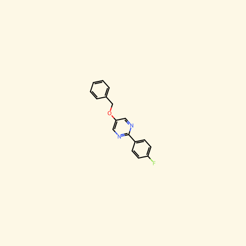 Fc1ccc(-c2ncc(OCc3ccccc3)cn2)cc1